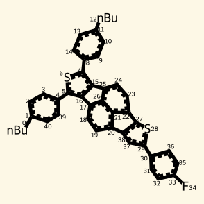 CCCCc1ccc(-c2sc(-c3ccc(CCCC)cc3)c3c2-c2ccc4c5c(ccc-3c25)-c2sc(-c3ccc(F)cc3)cc2-4)cc1